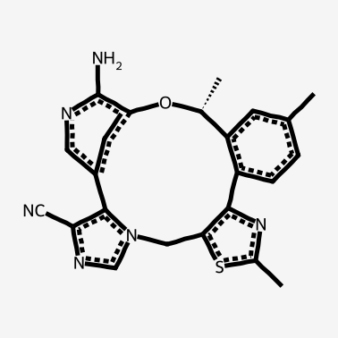 Cc1ccc2c(c1)[C@@H](C)Oc1cc(cnc1N)-c1c(C#N)ncn1Cc1sc(C)nc1-2